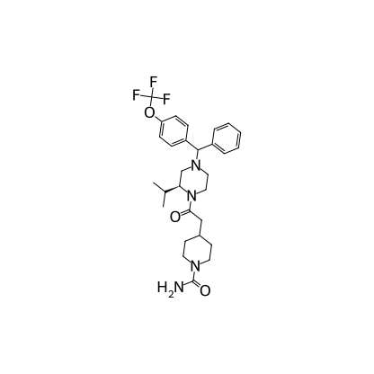 CC(C)[C@H]1CN(C(c2ccccc2)c2ccc(OC(F)(F)F)cc2)CCN1C(=O)CC1CCN(C(N)=O)CC1